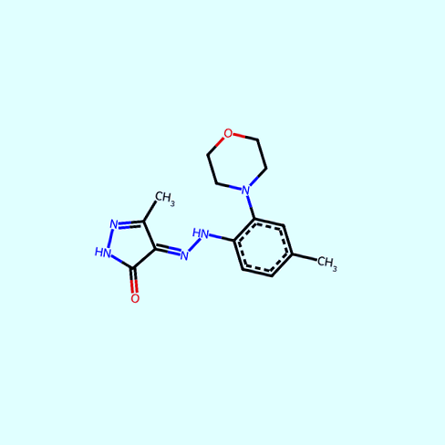 CC1=NNC(=O)/C1=N/Nc1ccc(C)cc1N1CCOCC1